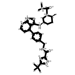 C[C@H]1CC[C@@H](Nc2n[nH]c3nccc(-c4ccc(CNC(=O)c5noc(C(C)(C)C)n5)cc4)c23)CN1C(=O)N(C)C